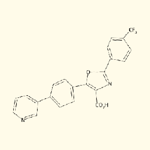 O=C(O)c1nc(-c2ccc(C(F)(F)F)cc2)oc1-c1ccc(-c2cccnc2)cc1